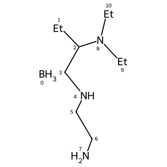 B.CCC(CNCCN)N(CC)CC